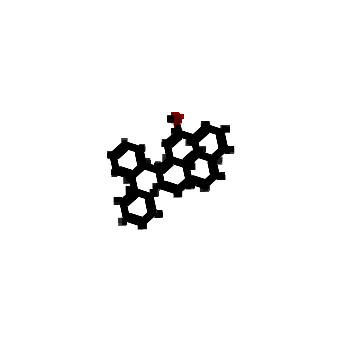 Brc1cc2c(-c3ccccc3-c3ccccc3)ccc3ccc4cccc1c4c32